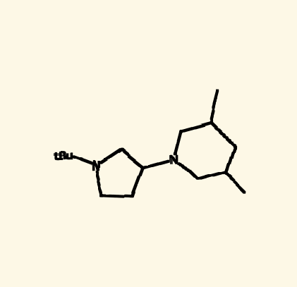 CC1CC(C)CN(C2CCN(C(C)(C)C)C2)C1